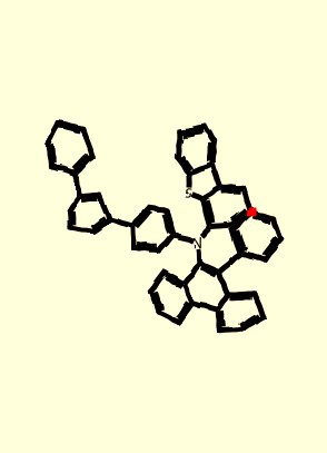 c1ccc(-c2cccc(-c3ccc(N(c4c(-c5ccccc5)c5ccccc5c5ccccc45)c4cccc5c4sc4ccccc45)cc3)c2)cc1